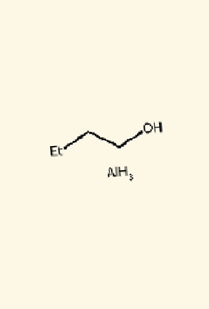 [AlH3].[CH2]CCCO